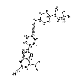 CC(C)c1cc(C#N)cc2nc(-c3ccc(C#CCC4CCN(C(=O)OC(C)(C)C)CC4)cc3)oc12